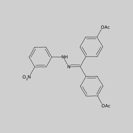 CC(=O)Oc1ccc(C(=NNc2cccc([N+](=O)[O-])c2)c2ccc(OC(C)=O)cc2)cc1